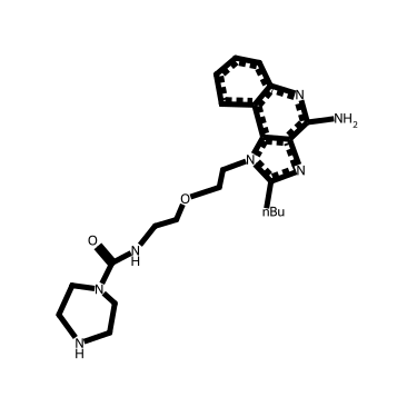 CCCCc1nc2c(N)nc3ccccc3c2n1CCOCCNC(=O)N1CCNCC1